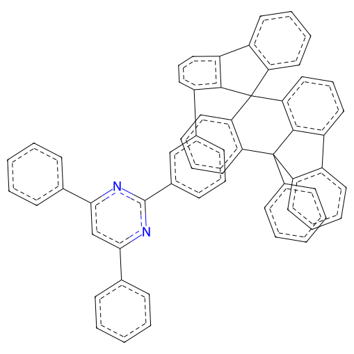 c1ccc(-c2cc(-c3ccccc3)nc(-c3cccc(-c4cccc5c4C4(c6ccccc6-5)c5ccccc5C5(c6ccccc6)c6ccccc6-c6cccc4c65)c3)n2)cc1